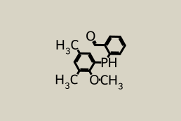 COc1c(C)cc(C)cc1Pc1ccccc1C=O